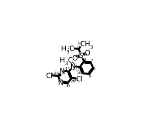 CC(C)S(=O)(=O)c1ccccc1N(C)c1nc(Cl)ncc1Cl